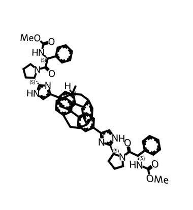 COC(=O)N[C@H](C(=O)N1CCC[C@H]1c1nc(-c2ccc(-c3cc4ccc3CCc3ccc(c(-c5ccc(-c6c[nH]c([C@@H]7CCCN7C(=O)[C@@H](NC(=O)OC)c7ccccc7)n6)cc5)c3)C[C@H]4C)cc2)c[nH]1)c1ccccc1